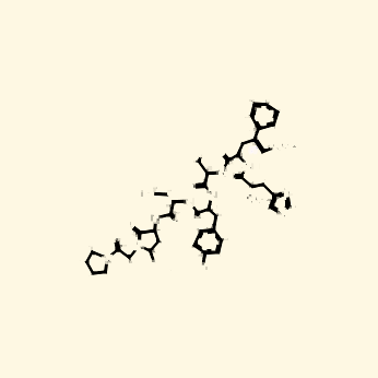 CN/C=C(/CC(NC(=O)[C@H](Cc1cnc[nH]1)NC)C(=O)NC(CO)C(=O)NC(Cc1ccc(O)cc1)C(=O)N[C@H](CC(C)C)C(=O)NC1CC(C)N(CC(=O)N2CCCC2)C1=O)c1ccccc1